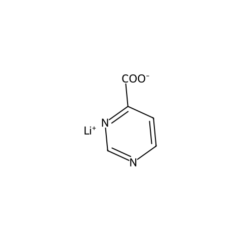 O=C([O-])c1ccncn1.[Li+]